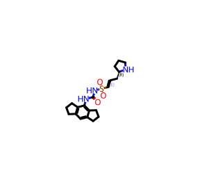 O=C(Nc1c2c(cc3c1CCC3)CCC2)NS(=O)(=O)/C=C/C[C@H]1CCCN1